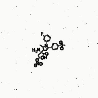 Cc1c([C@](N)(CCO[N+](=O)[O-])C(=O)O)cc(-c2ccc(S(C)(=O)=O)cc2)n1-c1cccc(F)c1